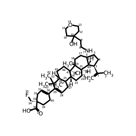 C=C(C)[C@@H]1CC[C@]2(NCCC3(O)CCOCC3)CC[C@]3(C)[C@H](CC[C@@H]4[C@@]5(C)CC=C(C6=CC[C@](CF)(C(=O)O)CC6)C(C)(C)[C@@H]5CC[C@]43C)[C@@H]12